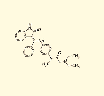 CCN(CC)CC(=O)N(C)c1ccc(N/C(=C2\C(=O)Nc3ccccc32)c2ccccc2)cc1